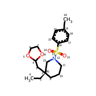 CC[C@]1(CC2OCCO2)CCCN(S(=O)(=O)c2ccc(C)cc2)C1